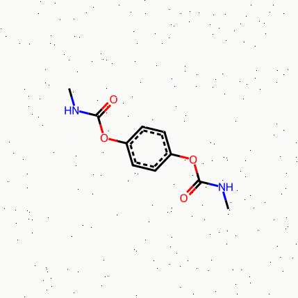 CNC(=O)Oc1ccc(OC(=O)NC)cc1